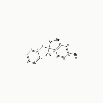 N#CC(CBr)(Cc1cccnc1)c1ccc(Br)cc1